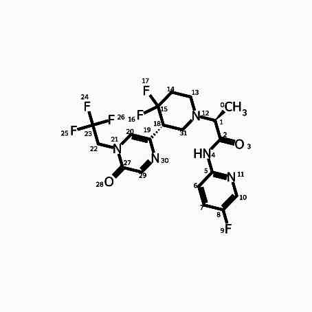 C[C@@H](C(=O)Nc1ccc(F)cn1)N1CCC(F)(F)[C@@H](c2cn(CC(F)(F)F)c(=O)cn2)C1